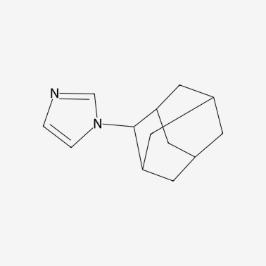 c1cn(C2C3CC4CC(C3)CC2C4)cn1